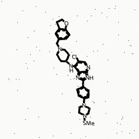 CSN1CCN(c2ccc(-c3nc4c(NC5CCN(Cc6ccc7c(c6)CCO7)CC5)c(Cl)cnc4[nH]3)cc2)CC1